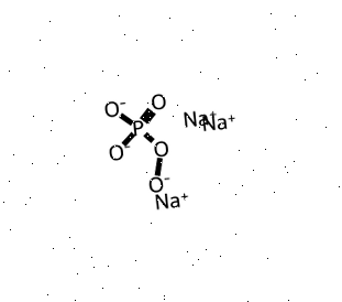 O=P([O-])([O-])O[O-].[Na+].[Na+].[Na+]